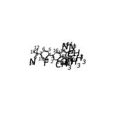 Cc1cc(-c2ccc(C3(C#N)CC3)cc2F)ccc1C(O)(c1cncnc1)C(C)(C)C